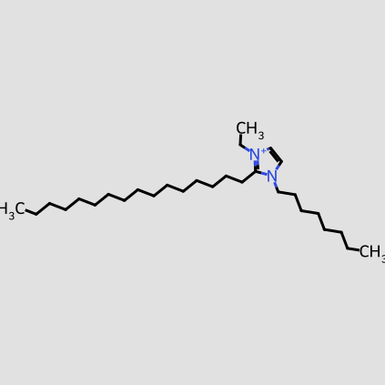 CCCCCCCCCCCCCCCCc1n(CCCCCCCC)cc[n+]1CC